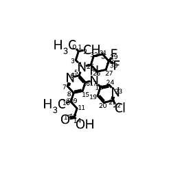 CC(C)CN(c1ncc([C@H](C)CC(=O)O)cc1Nc1ccc(Cl)nc1)C1CCC(F)(F)CC1